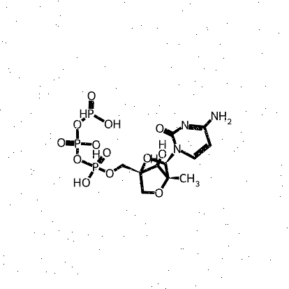 C[C@]12OC[C@](COP(=O)(O)OP(=O)(O)O[PH](=O)O)(O[C@H]1n1ccc(N)nc1=O)[C@H]2O